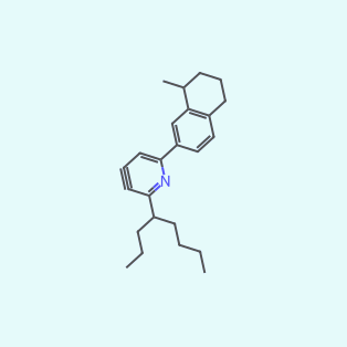 CCCCC(CCC)c1c#ccc(-c2ccc3c(c2)C(C)CCC3)n1